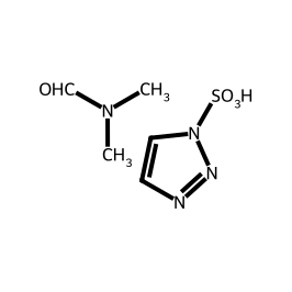 CN(C)C=O.O=S(=O)(O)n1ccnn1